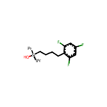 CC(C)[Si](O)(CCCCc1c(F)cc(F)cc1F)C(C)C